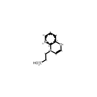 O=C(O)CCN1C=COc2cccnc21